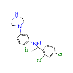 CC(Nc1cc(N2CCNCC2)ccc1Cl)c1ccc(Cl)cc1Cl